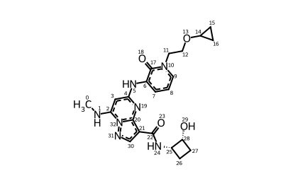 CNc1cc(Nc2cccn(CCOC3CC3)c2=O)nc2c(C(=O)N[C@H]3CC[C@H]3O)cnn12